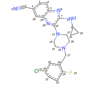 N#Cc1ccc2nc(NC3CC3)c(N3CCN(Cc4cc(Cl)ccc4F)CC3)nc2c1